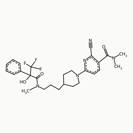 CN(C)C(=O)c1ccc(N2CCC(CCCN(C)C(=O)C(O)(c3ccccc3)C(F)(F)F)CC2)nc1C#N